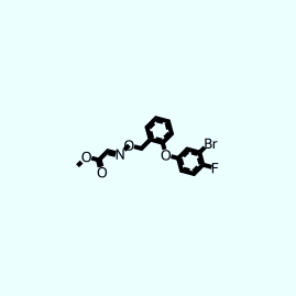 COC(=O)/C=N/OCc1ccccc1Oc1ccc(F)c(Br)c1